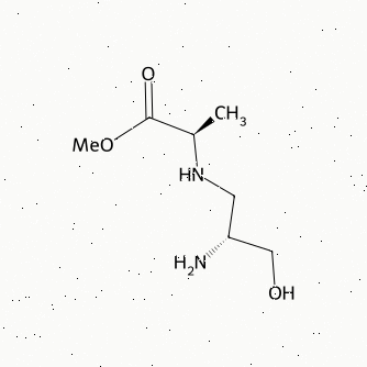 COC(=O)[C@@H](C)NC[C@@H](N)CO